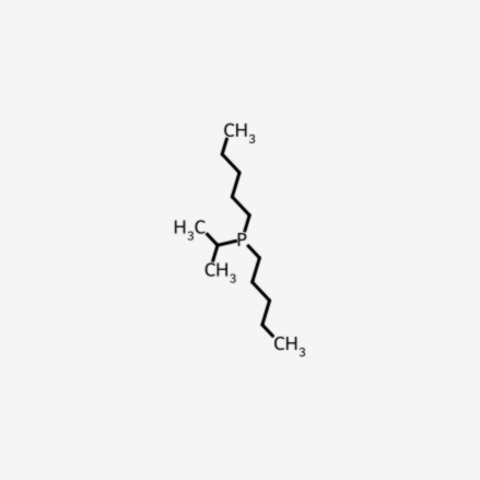 CCCCCP(CCCCC)C(C)C